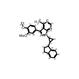 CCOc1ccc(-c2nn(C3CC3C3CCc4ccccc43)c3ncnc(N)c23)cc1OC